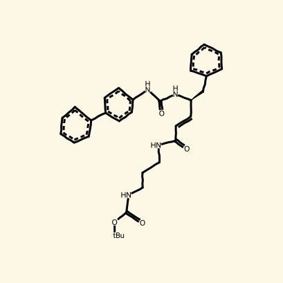 CC(C)(C)OC(=O)NCCCNC(=O)/C=C/[C@H](Cc1ccccc1)NC(=O)Nc1ccc(-c2ccccc2)cc1